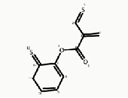 C=C(C=S)C(=O)OC1=CC=CCC1=S